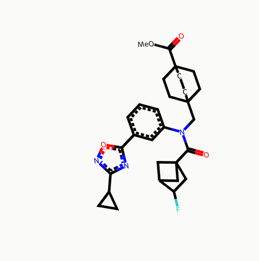 COC(=O)C12CCC(CN(C(=O)C34CC(F)C(C3)C4)c3cccc(-c4nc(C5CC5)no4)c3)(CC1)CC2